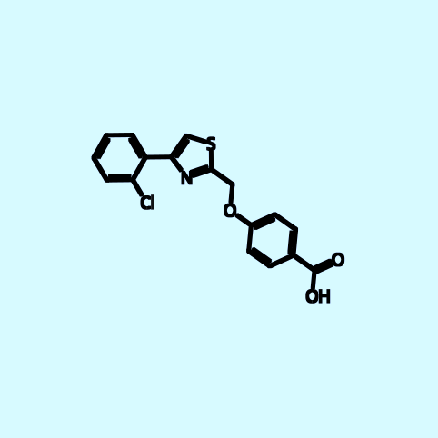 O=C(O)c1ccc(OCc2nc(-c3ccccc3Cl)cs2)cc1